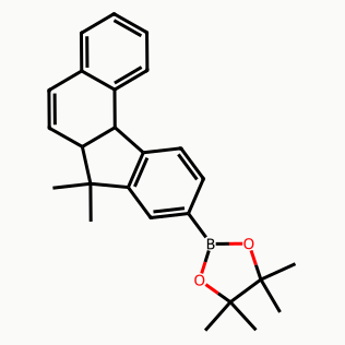 CC1(C)c2cc(B3OC(C)(C)C(C)(C)O3)ccc2C2c3ccccc3C=CC21